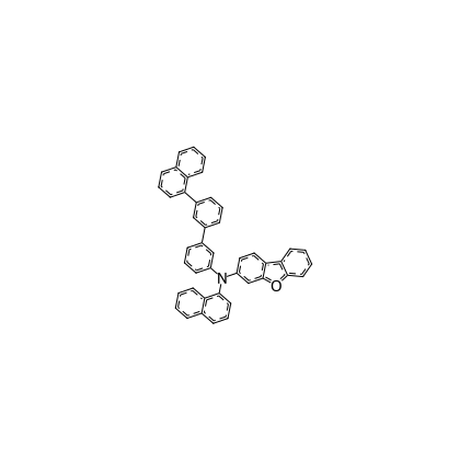 c1cc(-c2cccc(N(c3ccc4c(c3)oc3ccccc34)c3cccc4ccccc34)c2)cc(-c2cccc3ccccc23)c1